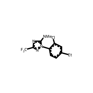 CCc1ccc(-n2nc(C(F)(F)F)nc2NC)c(Cl)c1